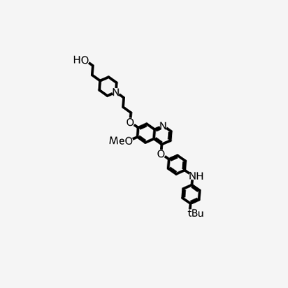 COc1cc2c(Oc3ccc(Nc4ccc(C(C)(C)C)cc4)cc3)ccnc2cc1OCCCN1CCC(CCO)CC1